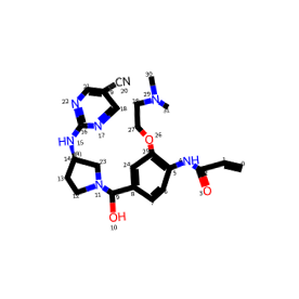 C=CC(=O)Nc1ccc(C(O)N2CC[C@@H](Nc3ncc(C#N)cn3)C2)cc1OCCN(C)C